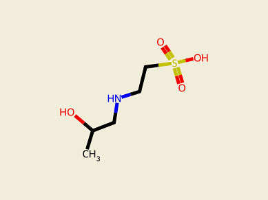 CC(O)CNCCS(=O)(=O)O